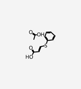 CC(=O)O.O=C(O)C=CSc1ccccc1